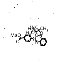 COC(=O)c1ccc(/N=N/c2ccccc2B2OC(C)(C)C(C)(C)O2)cc1